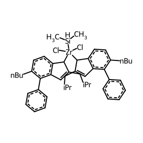 CCCCc1ccc2c(c1-c1ccccc1)C=C(CC(C)C)[CH]2[Zr]([Cl])([Cl])([CH]1C(CC(C)C)=Cc2c1ccc(CCCC)c2-c1ccccc1)[SiH](C)C